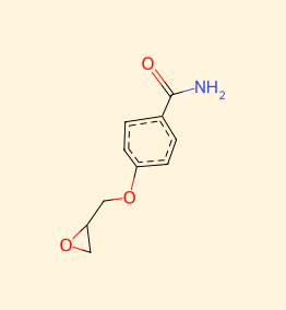 NC(=O)c1ccc(OCC2CO2)cc1